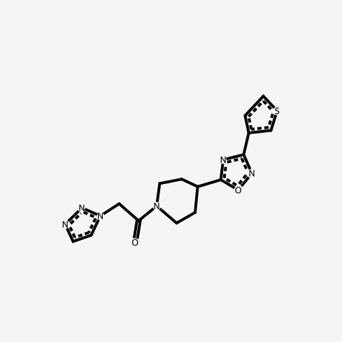 O=C(Cn1ccnn1)N1CCC(c2nc(-c3ccsc3)no2)CC1